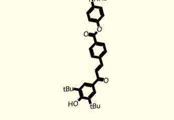 CC(=O)Nc1ccc(OC(=O)c2ccc(C=CC(=O)c3cc(C(C)(C)C)c(O)c(C(C)(C)C)c3)cc2)cc1